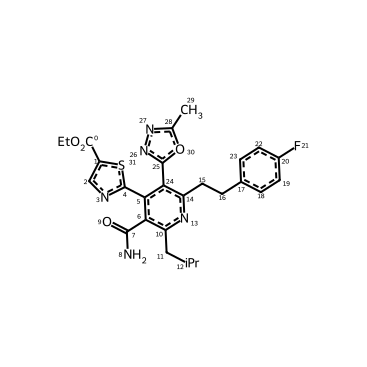 CCOC(=O)c1cnc(-c2c(C(N)=O)c(CC(C)C)nc(CCc3ccc(F)cc3)c2-c2nnc(C)o2)s1